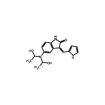 CC(O)N(c1ccc2c(c1)C(=Cc1ccc[nH]1)C(=O)N2)C(C)O